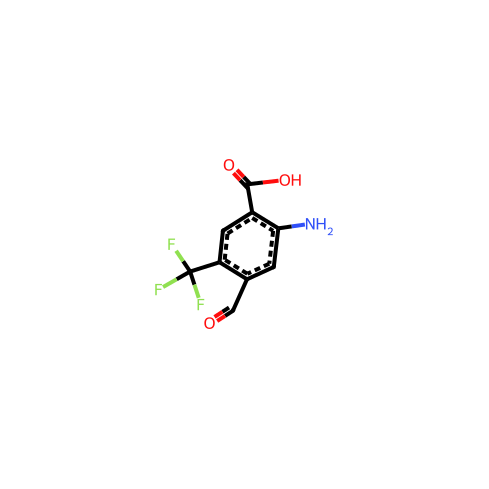 Nc1cc(C=O)c(C(F)(F)F)cc1C(=O)O